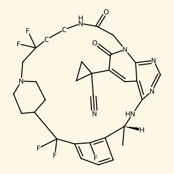 C[C@H]1Nc2ncnc3c2cc(C2(C#N)CC2)c(=O)n3CC(=O)NCCC(F)(F)CN2CCC(CC2)C(F)(F)c2cccc1c2F